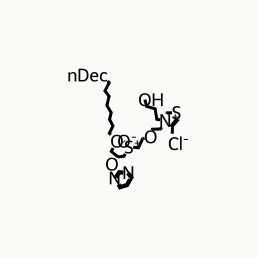 CCCCCCCCCCCCCCCCCCOCC(C[S+]([O-])CCOCC[N+]1(CCCO)CSC=C1C)Oc1ncccn1.[Cl-]